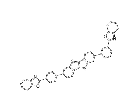 c1cc(-c2ccc3c(c2)sc2c4ccc(-c5ccc(-c6nc7ccccc7o6)cc5)cc4sc32)cc(-c2nc3ccccc3o2)c1